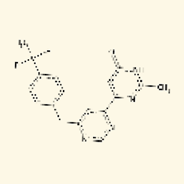 Cc1nc(-c2cc(Cc3ccc(C(C)(F)F)cc3)ncn2)cc(=O)[nH]1